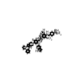 CC(C)c1ccccc1[C@@H]1CCCN1C1CC2(CCN(c3cc(Oc4cnc5[nH]ccc5c4)c(C(=O)NS(=O)(=O)c4cc([N+](=O)[O-])c(NCC5CCC(N(C)C)CC5)c5[nH]cnc45)cc3F)CC2)C1